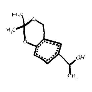 CC(O)c1ccc2c(c1)COC(C)(C)O2